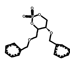 O=S1(=O)OC[C@@H](OCc2ccccc2)C(COCc2ccccc2)O1